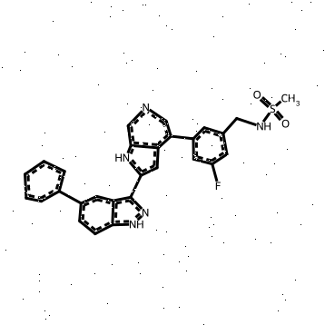 CS(=O)(=O)NCc1cc(F)cc(-c2cncc3[nH]c(-c4n[nH]c5ccc(-c6ccccc6)cc45)cc23)c1